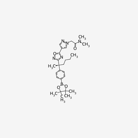 CCCC[C@](C)(c1ccc(B2OC(C)(C)C(C)(C)O2)cc1)c1noc(-c2cnn(CC(=O)N(C)C)c2)n1